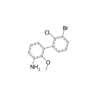 COc1c(N)cccc1-c1cccc(Br)c1Cl